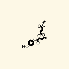 CCCC(OC(=O)C=CC(=O)OCC)C(=O)Oc1ccc(O)cc1